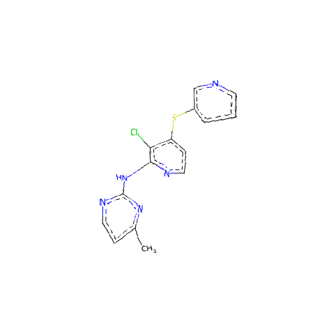 Cc1ccnc(Nc2nccc(Sc3cccnc3)c2Cl)n1